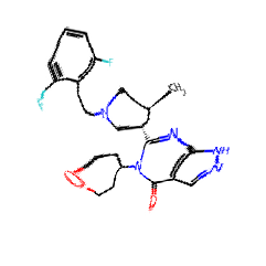 C[C@@H]1CN(Cc2c(F)cccc2F)C[C@H]1c1nc2[nH]ncc2c(=O)n1C1CCOCC1